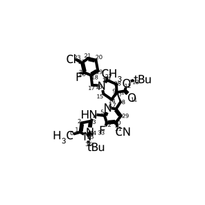 Cc1cc(Nc2nc(C[C@@]3(C(=O)OC(C)(C)C)CCN(Cc4cccc(Cl)c4F)[C@H](C)C3)cc(C#N)c2F)nn1C(C)(C)C